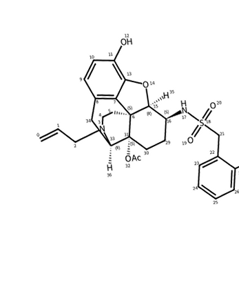 C=CCN1CC[C@]23c4c5ccc(O)c4O[C@H]2[C@@H](NS(=O)(=O)Cc2ccccc2C)CC[C@@]3(OC(C)=O)[C@H]1C5